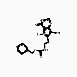 CCn1c(CCNC(=O)OCc2ccccc2)c(C#N)c2nc[nH]c(=S)c21